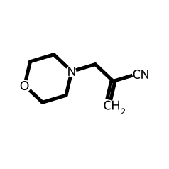 C=C(C#N)CN1CCOCC1